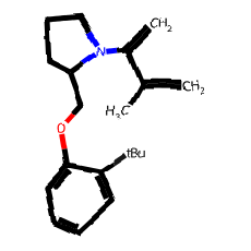 C=C(C)C(=C)N1CCCC1COc1ccccc1C(C)(C)C